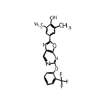 Cc1cc(-c2nc3cnc(Oc4ccccc4C(F)(F)F)nc3o2)cc(C)c1O